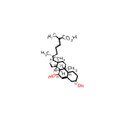 CC(CCC[C@@H](C)[C@H]1CC[C@H]2[C@@H]3[C@H](O)C=C4C[C@@H](O)CC[C@]4(C)[C@H]3CC[C@]12C)C(=O)O